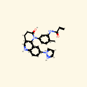 C=CC(=O)Nc1cc(N2C(=O)CCc3cnc4ccc(-n5cccn5)cc4c32)ccc1C